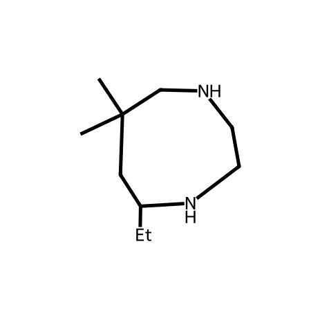 CCC1CC(C)(C)CNCCN1